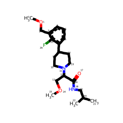 COCc1cccc(C2CCN(C(COC)C(=O)NCC(C)C)CC2)c1F